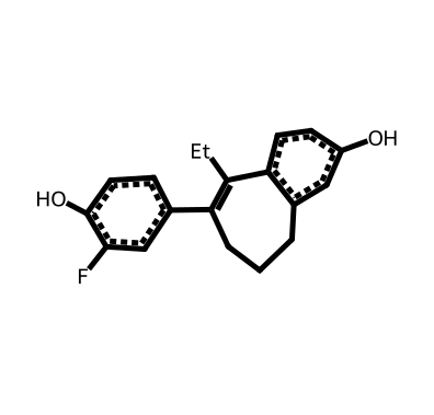 CCC1=C(c2ccc(O)c(F)c2)CCCc2cc(O)ccc21